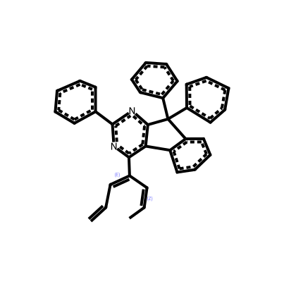 C=C/C=C(\C=C/C)c1nc(-c2ccccc2)nc2c1-c1ccccc1C2(c1ccccc1)c1ccccc1